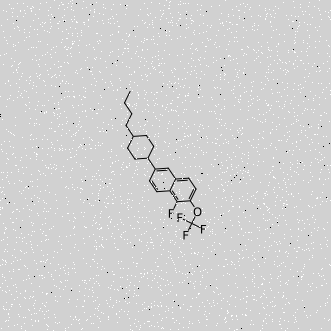 CCCCC1CCC(c2ccc3c(F)c(OC(F)(F)F)ccc3c2)CC1